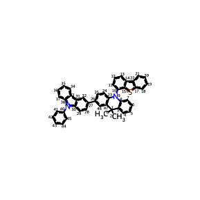 CC1(C)c2ccccc2N(c2cccc3c2sc2ccccc23)c2ccc(-c3ccc4c(c3)c3ccccc3n4-c3ccccc3)cc21